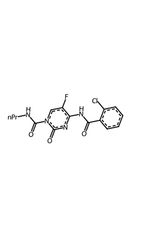 CCCNC(=O)n1cc(F)c(NC(=O)c2ccccc2Cl)nc1=O